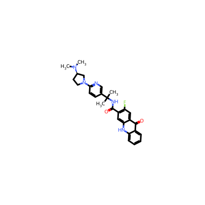 CN(C)[C@@H]1CCN(c2ccc(C(C)(C)NC(=O)c3cc4[nH]c5ccccc5c(=O)c4cc3F)cn2)C1